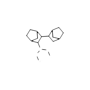 CCCO[SiH](OCCC)C1C2CCC(C2)C1C1CC2CCC1C2